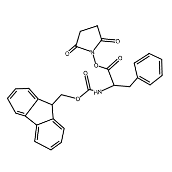 O=C(NC(Cc1ccccc1)C(=O)ON1C(=O)CCC1=O)OCC1c2ccccc2-c2ccccc21